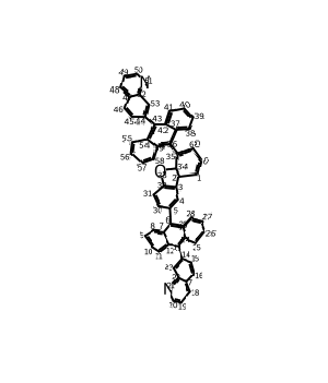 C1=CC2c3cc(-c4c5ccccc5c(-c5ccc6cccnc6c5)c5ccccc45)ccc3OC2C(c2c3ccccc3c(-c3ccc4cccnc4c3)c3ccccc23)=C1